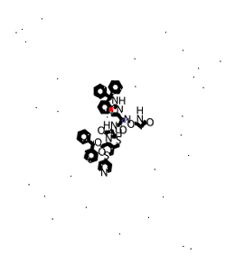 O=C1CC(O/N=C(\C(=O)NC2C(=O)N3C(C(=O)OC(c4ccccc4)c4ccccc4)=C(CSc4ccncc4)CS[C@H]23)c2csc(NC(c3ccccc3)(c3ccccc3)c3ccccc3)n2)N1